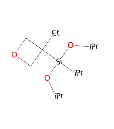 CCC1([Si](OC(C)C)(OC(C)C)C(C)C)COC1